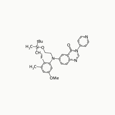 COc1cc(C)c(F)c(N(CCO[Si](C)(C)C(C)(C)C)c2ccc3ncn(-c4ccncc4)c(=O)c3c2)c1